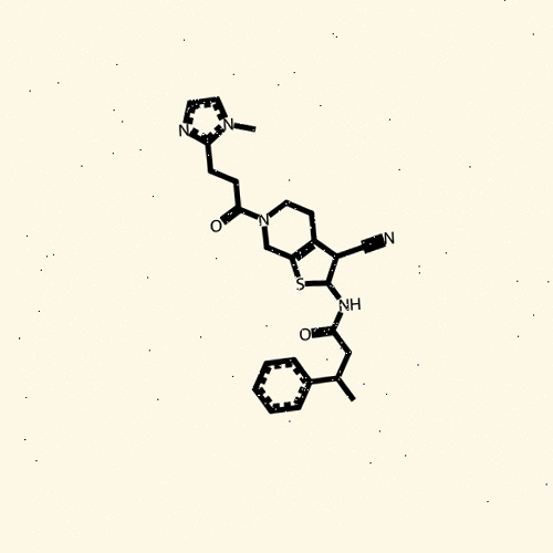 CC(CC(=O)NC1SC2=C(CCN(C(=O)CCc3nccn3C)C2)C1C#N)c1ccccc1